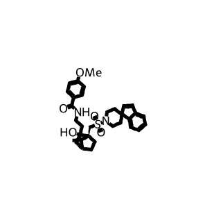 COc1ccc(C(=O)NCCC2(O)CC3CC[C@]2(CS(=O)(=O)N2CCC4(C=Cc5ccccc54)CC2)C3(C)C)cc1